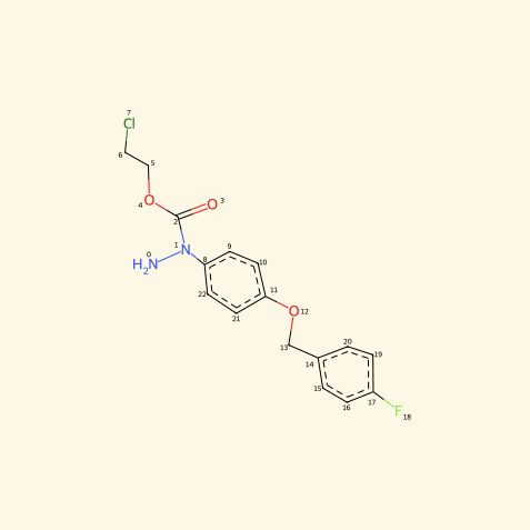 NN(C(=O)OCCCl)c1ccc(OCc2ccc(F)cc2)cc1